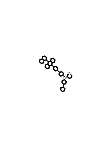 c1ccc(-c2ccc(N(c3ccc(-c4ccc(-c5c6ccccc6c(-c6cccc7ccccc67)c6ccccc56)cc4)cc3)c3cccnc3)cc2)cc1